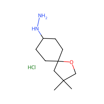 CC1(C)COC2(CCC(NN)CC2)C1.Cl